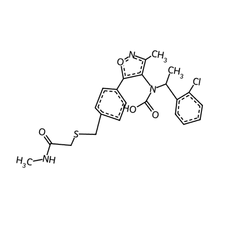 CNC(=O)CSCc1ccc(-c2onc(C)c2N(C(=O)O)C(C)c2ccccc2Cl)cc1